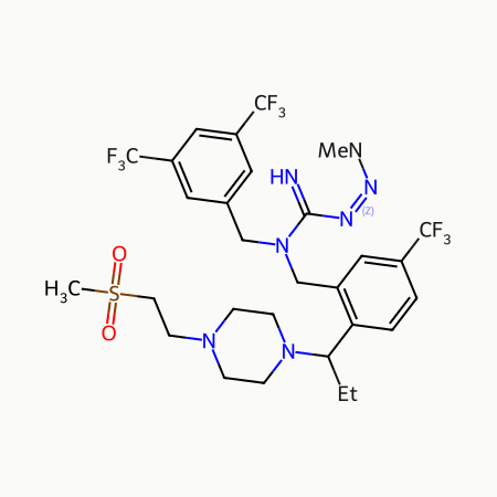 CCC(c1ccc(C(F)(F)F)cc1CN(Cc1cc(C(F)(F)F)cc(C(F)(F)F)c1)C(=N)/N=N\NC)N1CCN(CCS(C)(=O)=O)CC1